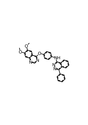 COc1cc2ncnc(Oc3ccc(Nc4nnc(-c5ccccc5)c5ccccc45)cc3)c2cc1OC